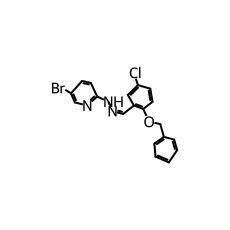 Clc1ccc(OCc2ccccc2)c(/C=N\Nc2ccc(Br)cn2)c1